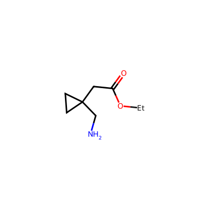 CCOC(=O)CC1(CN)CC1